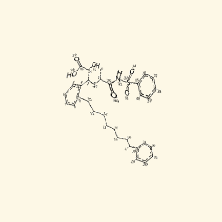 CC(SC(c1ccccc1CCCCCCCCc1ccccc1)C(O)C(=O)O)C(=O)NS(=O)(=O)c1ccccc1